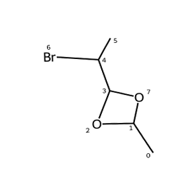 CC1OC(C(C)Br)O1